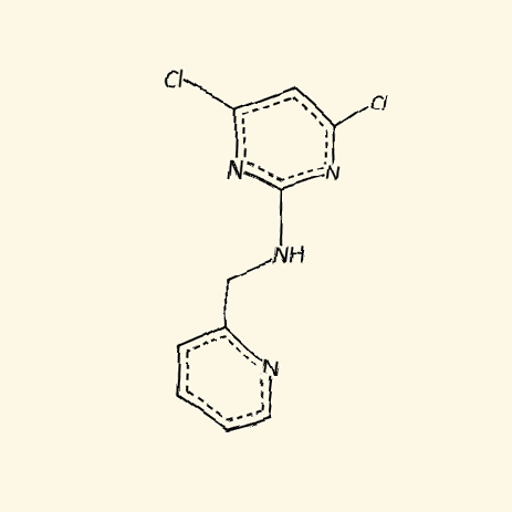 Clc1cc(Cl)nc(NCc2ccccn2)n1